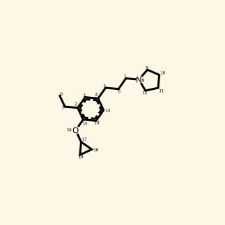 CCc1cc(CCCN2CCCC2)ccc1OC1CC1